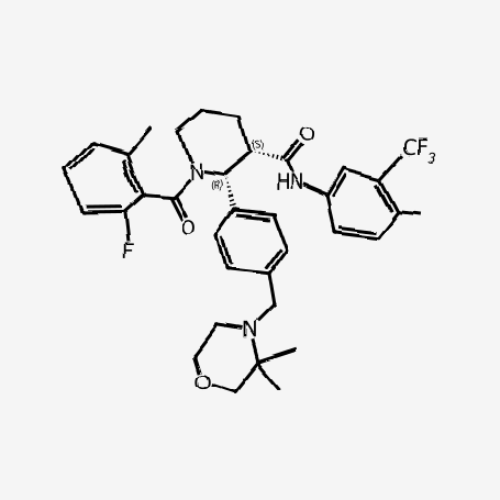 Cc1ccc(NC(=O)[C@H]2CCCN(C(=O)c3c(C)cccc3F)[C@H]2c2ccc(CN3CCOCC3(C)C)cc2)cc1C(F)(F)F